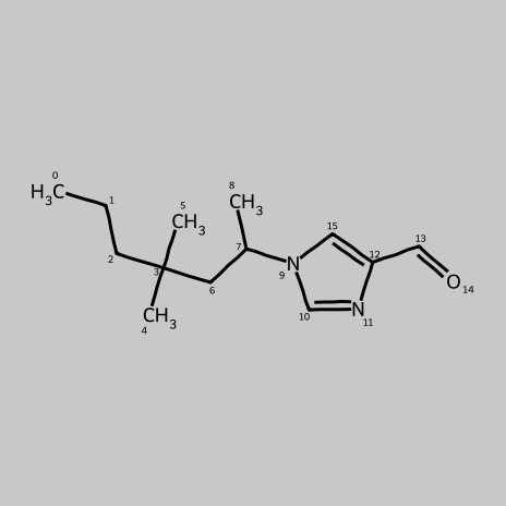 CCCC(C)(C)CC(C)n1cnc(C=O)c1